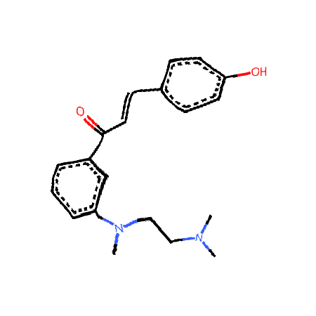 CN(C)CCN(C)c1cccc(C(=O)C=Cc2ccc(O)cc2)c1